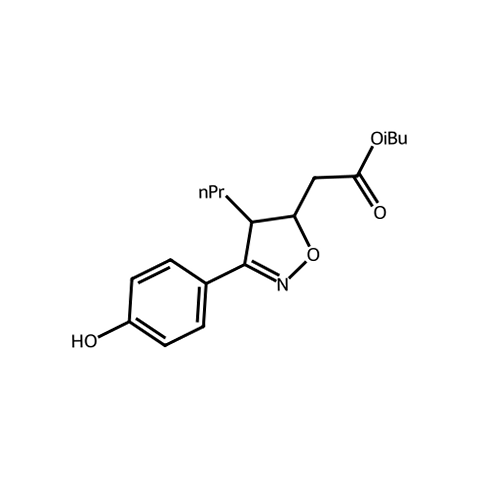 CCCC1C(c2ccc(O)cc2)=NOC1CC(=O)OCC(C)C